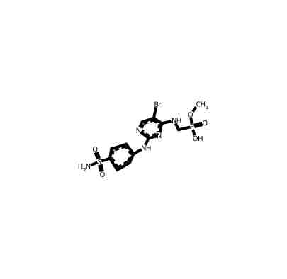 COP(=O)(O)CNc1nc(Nc2ccc(S(N)(=O)=O)cc2)ncc1Br